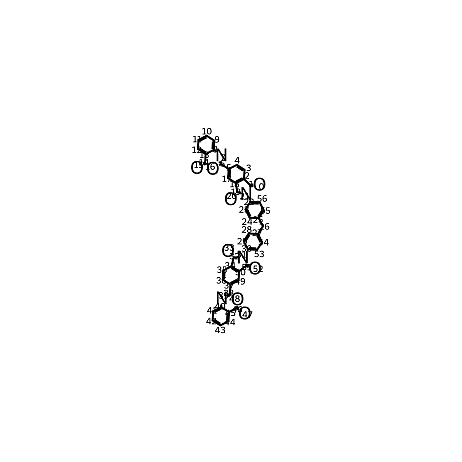 O=C1c2ccc(-c3nc4ccccc4c(=O)o3)cc2C(=O)N1c1ccc(Cc2ccc(N3C(=O)c4ccc(-c5nc6ccccc6c(=O)o5)cc4C3=O)cc2)cc1